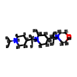 CC(C)N1CCC(C(C)(C)N2CCC(C(C)(C)N3CCOCC3)CC2C)CC1